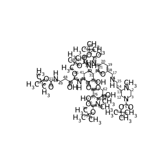 CN1CCN(C(=O)OC(C)(C)C)CC1CCNCC1=CC[C@@H](NC(=O)OC(C)(C)C)[C@@H](C2[C@@H](NC(=O)OC(C)(C)C)C[C@@H](NC(=O)[C@@H](O)CCNC(=O)OC(C)(C)C)[C@H](O[C@H]3OC[C@](C)(O)[C@H](N(C)C(=O)OC(C)(C)C)[C@H]3O)[C@H]2O)O1